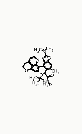 Cc1cc2nc(N(C)C)sc2c(-c2ccc3c4c(ccnc24)CCO3)c1[C@H](OC(C)(C)C)C(=O)N=O